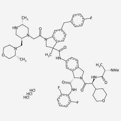 CN[C@@H](C)C(=O)N[C@H](C(=O)N1Cc2ccc(NC(=O)C3(C)CN(C(=O)CN4C[C@@H](C)NC[C@@H]4CN4CCOC[C@H]4C)c4cc(Cc5ccc(F)cc5)ccc43)cc2[C@H]1C(=O)Nc1c(F)cccc1F)C1CCOCC1.Cl.Cl.Cl